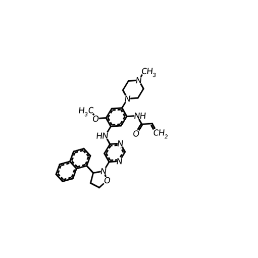 C=CC(=O)Nc1cc(Nc2cc(N3OCCC3c3cccc4ccccc34)ncn2)c(OC)cc1N1CCN(C)CC1